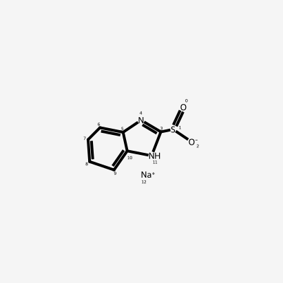 O=S([O-])c1nc2ccccc2[nH]1.[Na+]